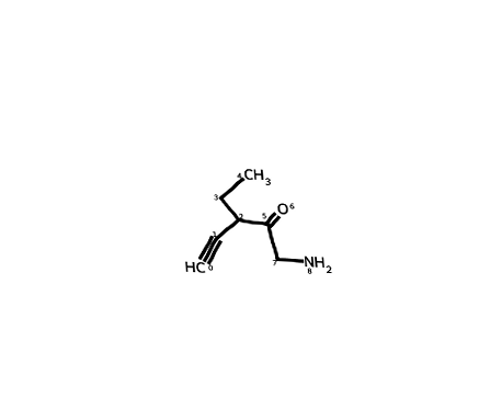 C#CC(CC)C(=O)CN